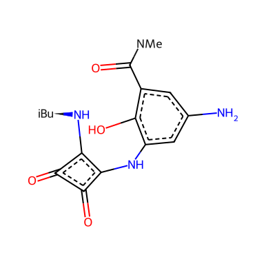 CC[C@H](C)Nc1c(Nc2cc(N)cc(C(=O)NC)c2O)c(=O)c1=O